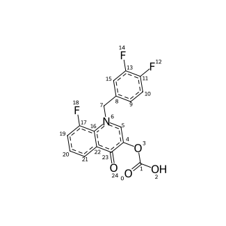 O=C(O)Oc1cn(Cc2ccc(F)c(F)c2)c2c(F)cccc2c1=O